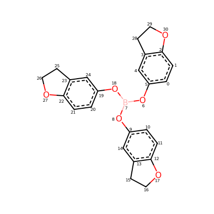 c1cc2c(cc1OB(Oc1ccc3c(c1)CCO3)Oc1ccc3c(c1)CCO3)CCO2